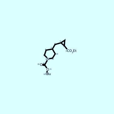 CCOC(=O)C1CC1CC1CCN(C(=O)OC(C)(C)C)CC1